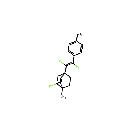 Cc1ccc(/C(F)=C(\F)C23C=C(F)C(C)(CC2)CC3)cc1